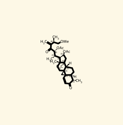 C=C(C(=O)[C@H](OC(C)=O)[C@@H](C)[C@H]1[C@@H](OC(C)=O)C[C@@]2(C)[C@@H]3CC[C@H]4[C@H](C)C(=O)C=C[C@@]45C[C@@]35CC[C@]12C)[C@@H](C)COC